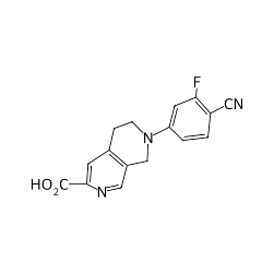 N#Cc1ccc(N2CCc3cc(C(=O)O)ncc3C2)cc1F